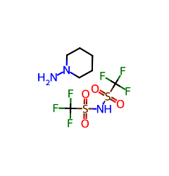 NN1CCCCC1.O=S(=O)(NS(=O)(=O)C(F)(F)F)C(F)(F)F